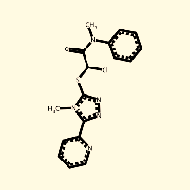 CN(C(=O)C(Cl)Sc1nnc(-c2ccccn2)n1C)c1ccccc1